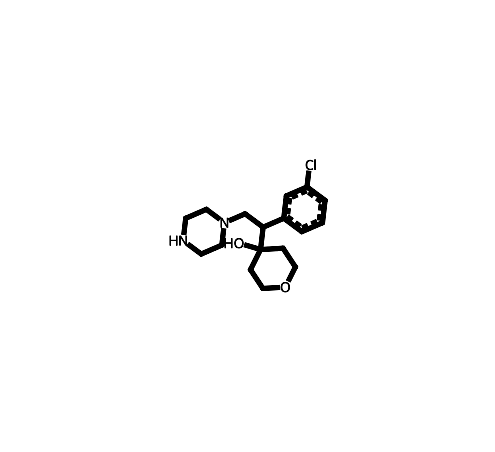 OC1(C(CN2CCNCC2)c2cccc(Cl)c2)CCOCC1